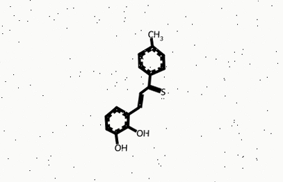 Cc1ccc(C(=S)C=Cc2cccc(O)c2O)cc1